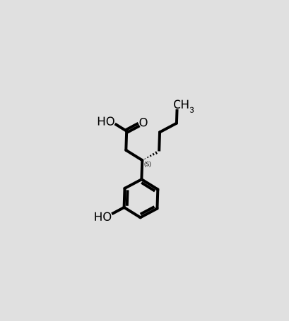 CCCC[C@@H](CC(=O)O)c1cccc(O)c1